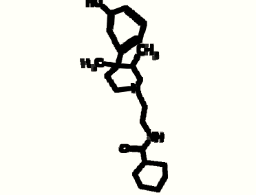 CC1CN(CCNC(=O)C2CCCCC2)CCC1(C)c1cccc(O)c1